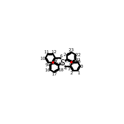 c1ccc(CS(Cc2ccccc2)(c2ccccc2)c2ccccc2)cc1